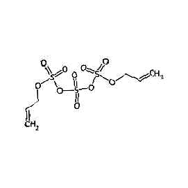 C=CCOS(=O)(=O)OS(=O)(=O)OS(=O)(=O)OCC=C